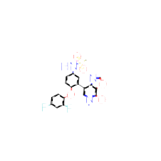 Cn1cc(-c2cc(NS(C)(=O)=O)ccc2Oc2ccc(F)cc2F)c2ncoc2c1=O